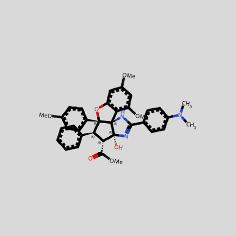 COC(=O)[C@@H]1[C@@H](c2ccccc2)[C@]2(c3ccc(OC)cc3)Oc3cc(OC)cc(OC)c3[C@@]23NC(c2ccc(N(C)C)cc2)=N[C@@]13O